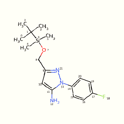 CC(C)(C)[Si](C)(C)OCc1cc(N)n(-c2ccc(F)cc2)n1